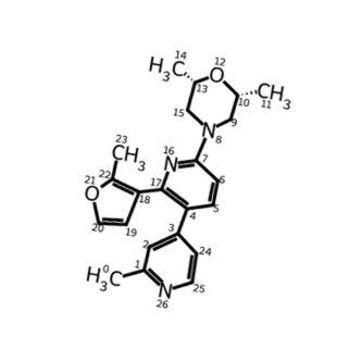 Cc1cc(-c2ccc(N3C[C@@H](C)O[C@@H](C)C3)nc2-c2ccoc2C)ccn1